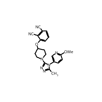 COc1ccc(-n2c(C)nnc2N2CCC(Oc3cccc(C#N)c3C#N)CC2)cn1